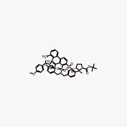 COc1ccc(CN(Cc2ccc(OC)cc2)S(=O)(=O)c2c(S(=O)(=O)N[C@@H]3CCN(C(=O)OC(C)(C)C)C3)ccc(-c3cccc(N)c3N)c2-c2nnn(Cc3ccc(OC)cc3)n2)cc1